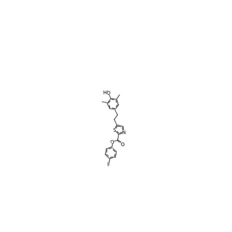 Cc1cc(CCc2cnc(C(=O)Oc3ccc(F)cc3)s2)cc(C)c1O